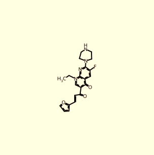 CCn1cc(C(=O)C=Cc2ccco2)c(=O)c2cc(F)c(N3CCNCC3)nc21